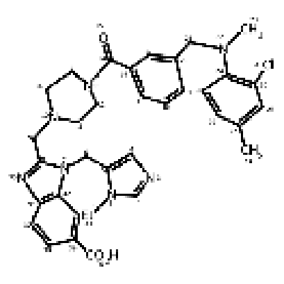 CCn1cncc1Cn1c(CN2CCN(C(=O)c3cccc(CN(C)c4ccc(C)cc4Cl)c3)CC2)nc2ccc(C(=O)O)cc21